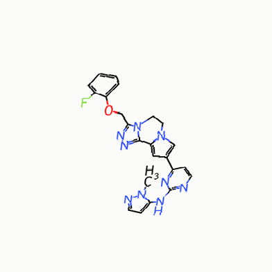 Cn1nccc1Nc1nccc(-c2cc3n(c2)CCn2c(COc4ccccc4F)nnc2-3)n1